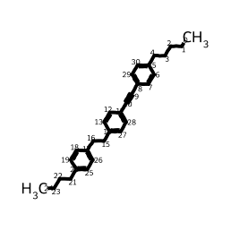 CCCCCc1ccc(C#Cc2ccc(CCc3ccc(CCCC)cc3)cc2)cc1